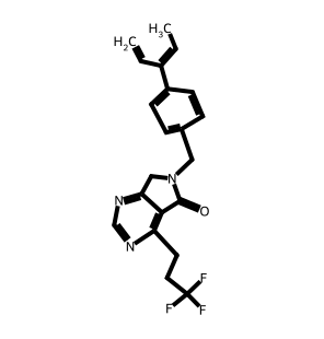 C=C/C(=C\C)c1ccc(CN2Cc3ncnc(CCC(F)(F)F)c3C2=O)cc1